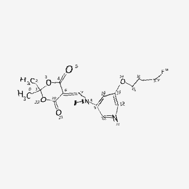 CC1(C)OC(=O)C(=CNc2cncc(OCCCF)c2)C(=O)O1